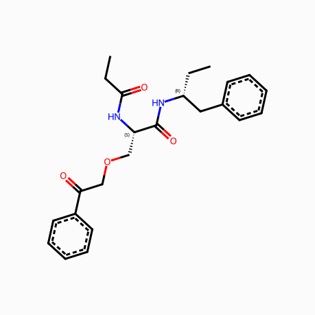 CCC(=O)N[C@@H](COCC(=O)c1ccccc1)C(=O)N[C@H](CC)Cc1ccccc1